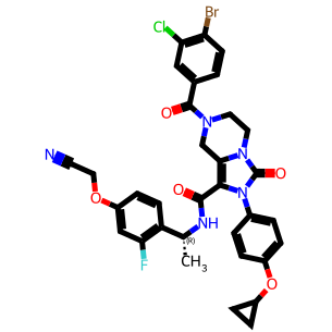 C[C@@H](NC(=O)c1c2n(c(=O)n1-c1ccc(OC3CC3)cc1)CCN(C(=O)c1ccc(Br)c(Cl)c1)C2)c1ccc(OCC#N)cc1F